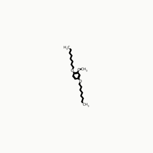 CCCCCCCCOc1ccc(OCCCCCCCC)c(OC)c1